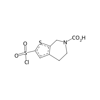 O=C(O)N1CCc2cc(S(=O)(=O)Cl)sc2C1